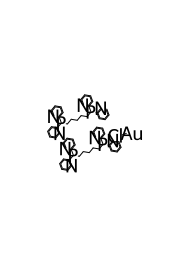 [Cl][Au].c1ccc(P(CCCCCP(c2ccccn2)c2ccccn2)c2ccccn2)nc1.c1ccc(P(CCCCCP(c2ccccn2)c2ccccn2)c2ccccn2)nc1